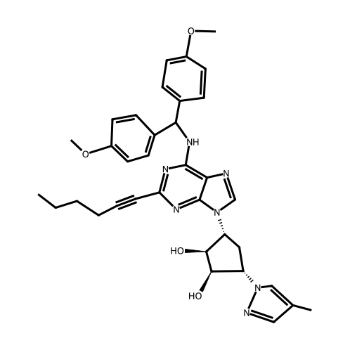 CCCCC#Cc1nc(NC(c2ccc(OC)cc2)c2ccc(OC)cc2)c2ncn([C@@H]3C[C@H](n4cc(C)cn4)[C@@H](O)[C@H]3O)c2n1